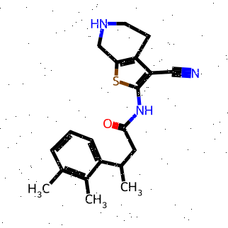 Cc1cccc(C(C)CC(=O)Nc2sc3c(c2C#N)CCNC3)c1C